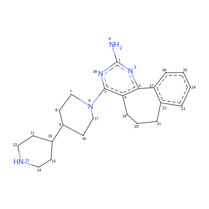 Nc1nc2c(c(N3CCC(C4CCNCC4)CC3)n1)CCCc1ccccc1-2